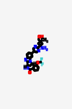 C[C@]1(CO)C[C@](N)(c2ncc(-c3ccc4nc5n(c4c3)[C@@H]3C[C@H]5NC(=O)c4cccc(OC(F)F)c43)cn2)C1